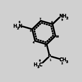 CP(C)c1cc(N)cc(N)c1